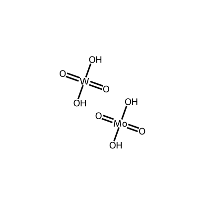 [O]=[Mo](=[O])([OH])[OH].[O]=[W](=[O])([OH])[OH]